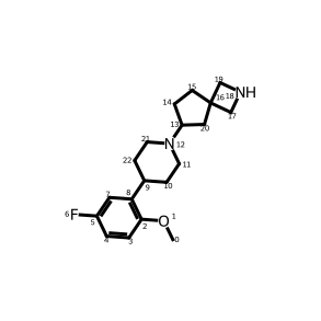 COc1ccc(F)cc1C1CCN(C2CCC3(CNC3)C2)CC1